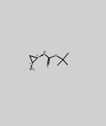 CC(C)(C)OC(=S)N[C@@H]1C[C@@H]1N